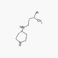 CC(C)C(C)CCNC1CCNCC1